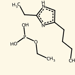 CCCCc1c[nH]c(CC)n1.CCOP(O)O